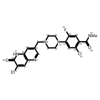 CCc1cc2ncc(CN3CCN(c4cc(Cl)c(C(=O)NC)cc4F)CC3)cc2[nH]c1=O